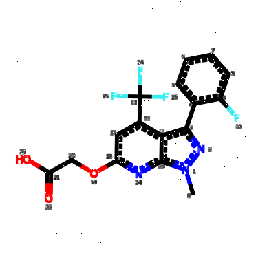 Cn1nc(-c2ccccc2F)c2c(C(F)(F)F)cc(OCC(=O)O)nc21